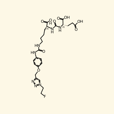 O=C(O)CC[C@H](NC(=O)N[C@@H](CCCCNC(=O)Nc1ccc(OCc2cn(CCF)nn2)cc1)C(=O)O)C(=O)O